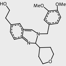 COc1ccc(CN2C=c3cc(CCO)ccc3=NC2C2CCOCC2)cc1OC